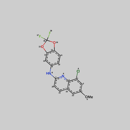 COc1cc(Cl)c2nc(Nc3ccc4c(c3)OC(F)(F)O4)ccc2c1